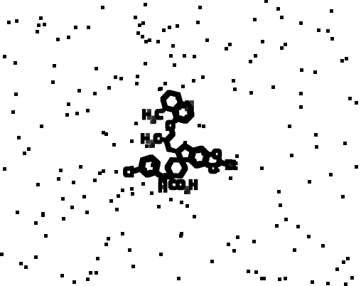 CCC1Oc2cc3c(cc2O1)C1(CCC(Nc2cccc(Cl)c2)(C(=O)O)CC1)[C@@H](C[C@@H](C)COc1ccnc2c1[C@H](C)CCC2)C3